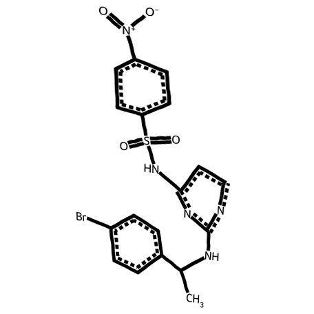 CC(Nc1nccc(NS(=O)(=O)c2ccc([N+](=O)[O-])cc2)n1)c1ccc(Br)cc1